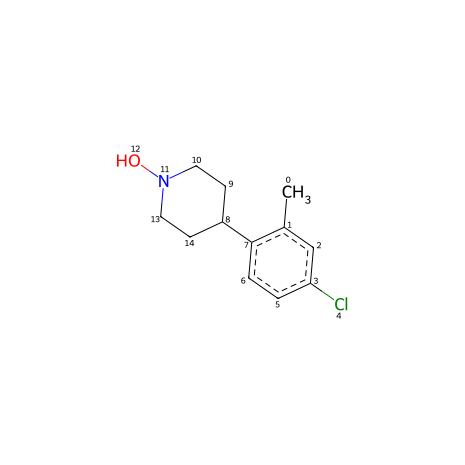 Cc1cc(Cl)ccc1C1CCN(O)CC1